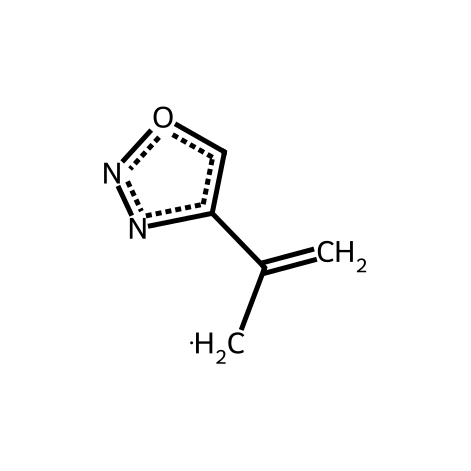 [CH2]C(=C)c1conn1